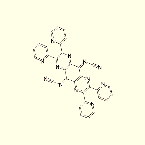 N#CN=C1c2nc(-c3ccccn3)c(-c3ccccn3)nc2C(=NC#N)c2nc(-c3ccccn3)c(-c3ccccn3)nc21